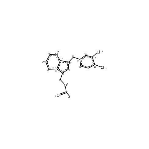 CC(=O)OCc1cn(Cc2ccc(Cl)c(Cl)c2)c2ncccc12